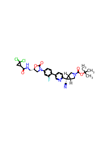 CC(C)(C)OC(=O)N1C[C@@H]2[C@H](C1)[C@@]2(C#N)c1ccc(-c2ccc(N3C[C@H](CNC(=O)C4CC4(Cl)Cl)OC3=O)cc2F)cn1